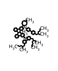 CCCCC(CC)Cc1ccc(-c2ccc(-n3c4c(c5cc(-c6ccccc6C6c7ccccc7-c7cc(-n8c9ccc(CC(CC)CCCC)cc9c9cc(CC(CC)CCCC)ccc98)ccc7C6C)ccc53)/C=C\C=C(\C)CC4)cc2)cc1